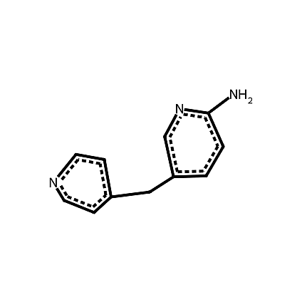 Nc1ccc(Cc2ccncc2)cn1